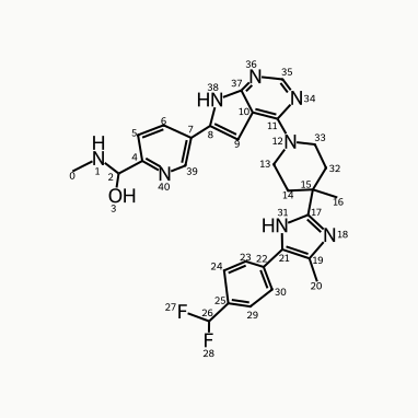 CNC(O)c1ccc(-c2cc3c(N4CCC(C)(c5nc(C)c(-c6ccc(C(F)F)cc6)[nH]5)CC4)ncnc3[nH]2)cn1